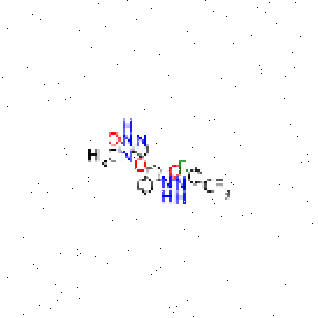 Cc1nc2c(Oc3ccc(NC(=O)Nc4cc(C(F)(F)F)ccc4F)c4ccccc34)ccnc2[nH]c1=O